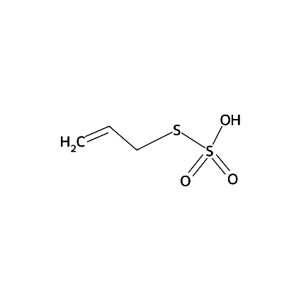 C=CCSS(=O)(=O)O